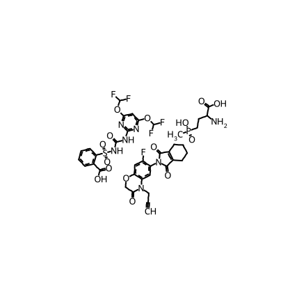 C#CCN1C(=O)COc2cc(F)c(N3C(=O)C4=C(CCCC4)C3=O)cc21.CP(=O)(O)CCC(N)C(=O)O.O=C(Nc1nc(OC(F)F)cc(OC(F)F)n1)NS(=O)(=O)c1ccccc1C(=O)O